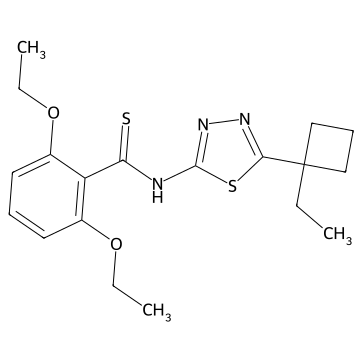 CCOc1cccc(OCC)c1C(=S)Nc1nnc(C2(CC)CCC2)s1